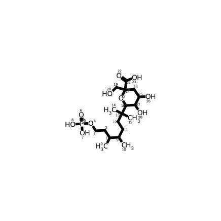 CC(CCOP(=O)(O)O)C(C)CCC(C)(C)C1OC(CO)(C(=O)O)CC(O)C1O